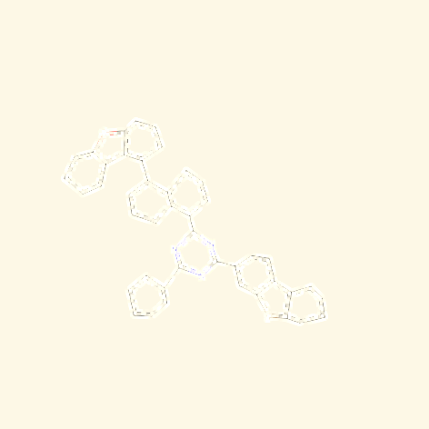 c1ccc(-c2nc(-c3ccc4c(c3)sc3ccccc34)nc(-c3cccc4c(-c5cccc6oc7ccccc7c56)cccc34)n2)cc1